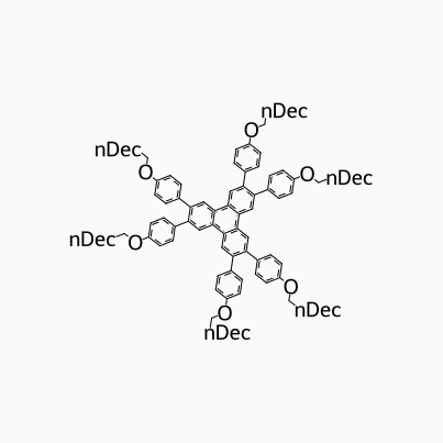 CCCCCCCCCCCOc1ccc(-c2cc3c4cc(-c5ccc(OCCCCCCCCCCC)cc5)c(-c5ccc(OCCCCCCCCCCC)cc5)cc4c4cc(-c5ccc(OCCCCCCCCCCC)cc5)c(-c5ccc(OCCCCCCCCCCC)cc5)cc4c3cc2-c2ccc(OCCCCCCCCCCC)cc2)cc1